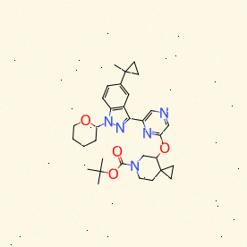 CC(C)(C)OC(=O)N1CCC2(CC2)C(Oc2cncc(-c3nn(C4CCCCO4)c4ccc(C5(C)CC5)cc34)n2)C1